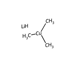 [CH3][Cu]([CH3])[CH3].[LiH]